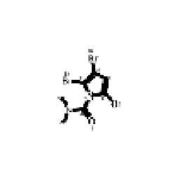 CN(C)C(=O)n1c(Br)cc(Br)c1Br